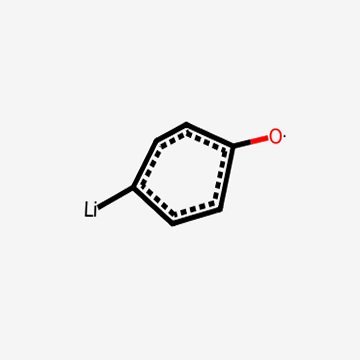 [Li][c]1ccc([O])cc1